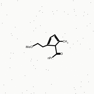 CCCC(=O)C1C(C)=CC=C1CCOC